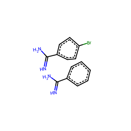 N=C(N)c1ccc(Br)cc1.N=C(N)c1ccccc1